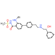 CC(C)Nc1cc(-c2ccc(CCNC[C@H](O)c3ccccc3)cc2)ccc1C(=O)NS(C)(=O)=O